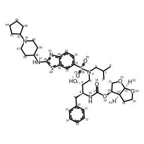 CC(C)CN(C[C@@H](O)[C@H](Cc1ccccc1)NC(=O)O[C@H]1CO[C@H]2OCC[C@H]21)S(=O)(=O)c1ccc2nc(NC3CCN(C4CCCC4)CC3)sc2c1